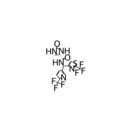 O=C1NC[C@@H](C(=O)NC(c2ccc(C(F)(F)F)nc2)c2csc(C(F)(F)F)n2)N1